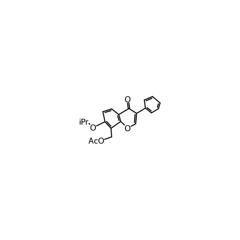 CC(=O)OCc1c(OC(C)C)ccc2c(=O)c(-c3ccccc3)coc12